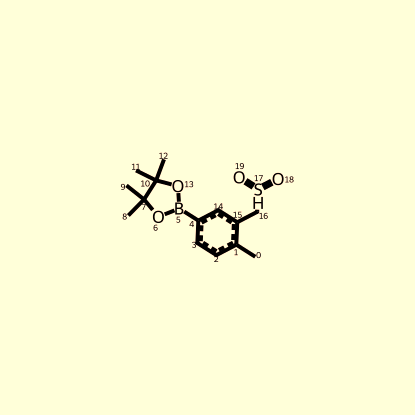 Cc1ccc(B2OC(C)(C)C(C)(C)O2)cc1C[SH](=O)=O